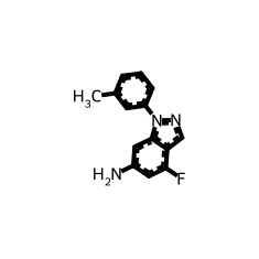 Cc1cccc(-n2ncc3c(F)cc(N)cc32)c1